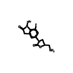 CCCN1C(=O)Cc2cc(N3CC(CN)OC3=O)cc(F)c21